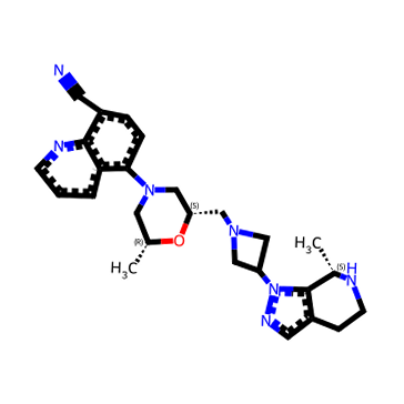 C[C@@H]1CN(c2ccc(C#N)c3ncccc23)C[C@H](CN2CC(n3ncc4c3[C@H](C)NCC4)C2)O1